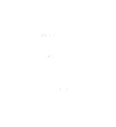 CO.O=C(O)CCCC(=O)O